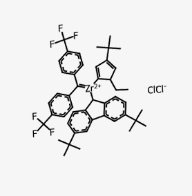 CCC1C=C(C(C)(C)C)C=[C]1[Zr+2](=[C](c1ccc(C(F)(F)F)cc1)c1ccc(C(F)(F)F)cc1)[CH]1c2ccc(C(C)(C)C)cc2-c2cc(C(C)(C)C)ccc21.[Cl-].[Cl-]